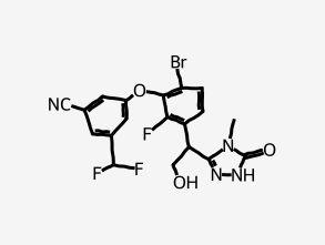 Cn1c(C(CO)c2ccc(Br)c(Oc3cc(C#N)cc(C(F)F)c3)c2F)n[nH]c1=O